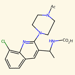 CC(=O)N1CCN(c2nc3c(Cl)cccc3cc2C(C)NC(=O)O)CC1